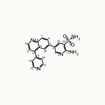 Nc1ncc(-c2ccc3nccc(-c4ccncc4)c3c2)cc1S(N)(=O)=O